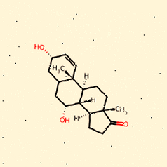 C[C@]12C=C[C@@H](O)CC1C[C@@H](O)[C@@H]1[C@@H]2CC[C@]2(C)C(=O)CC[C@@H]12